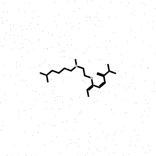 C=C(/C=C\C(=C/C)OCCN(C)CCCCC(C)C)C(C)C